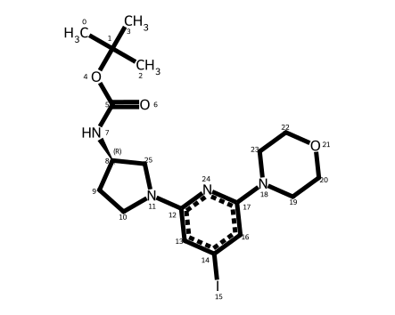 CC(C)(C)OC(=O)N[C@@H]1CCN(c2cc(I)cc(N3CCOCC3)n2)C1